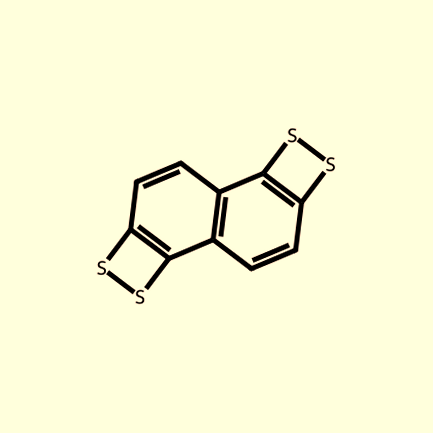 c1cc2c(ccc3ssc32)c2ssc12